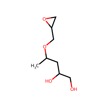 CC(CC(O)CO)OCC1CO1